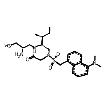 CC[C@H](C)[C@@H](CN(C[C]=O)S(=O)(=O)Cc1cccc2c(N(C)C)cccc12)NC[C@@H](N)CS